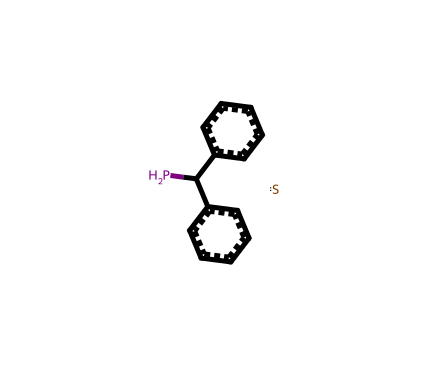 PC(c1ccccc1)c1ccccc1.[S]